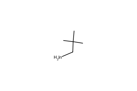 CC(C)(C)[CH2][InH2]